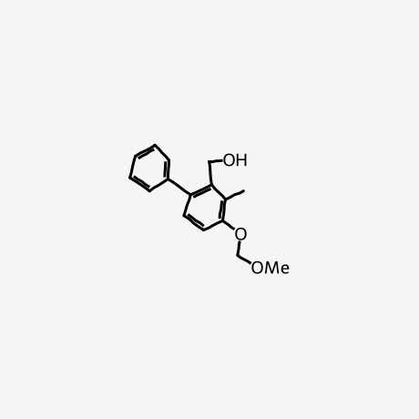 COCOc1ccc(-c2ccccc2)c(CO)c1C